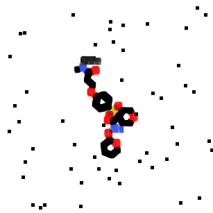 CON(C)C(=O)CCOc1ccc(S(=O)(=O)C2(C(=O)NOC3CCCCO3)CCOCC2)cc1